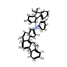 CC1(C)c2ccccc2-c2c(N(c3ccccc3)c3ccc4c(ccc5ccc6c7ccccc7[se]c6c54)c3)cccc21